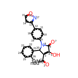 CCCCC(=O)C1=C(O)C(=O)N(c2ccc(-c3ccon3)cc2)C1c1ccccc1OC